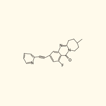 CC1CCc2nc3cc(C#Cc4ccccn4)cc(F)c3c(=O)n2CC1